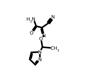 CC(ON=C(C#N)C(N)=O)n1cccn1